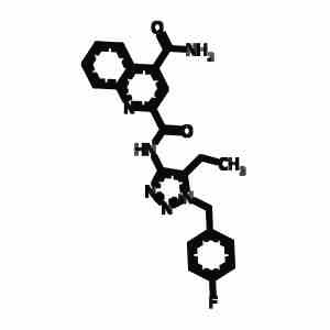 CCc1c(NC(=O)c2cc(C(N)=O)c3ccccc3n2)nnn1Cc1ccc(F)cc1